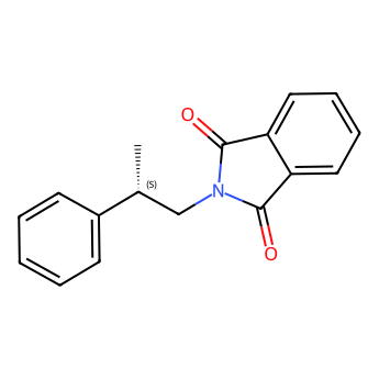 C[C@H](CN1C(=O)c2ccccc2C1=O)c1ccccc1